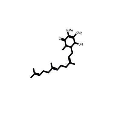 CNC1=C(SC)C(O)C(C/C=C(\C)CC/C=C(\C)CCC=C(C)C)C(C)C1=O